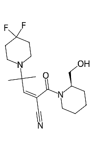 CC(C)(/C=C(/C#N)C(=O)N1CCCC[C@@H]1CO)N1CCC(F)(F)CC1